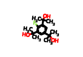 CC(C)(O)c1cc(C(C)(C)O)c(F)c(C(C)(C)O)c1